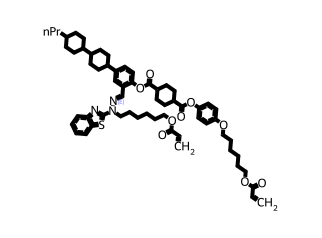 C=CC(=O)OCCCCCCOc1ccc(OC(=O)C2CCC(C(=O)Oc3ccc(C4CCC(C5CCC(CCC)CC5)CC4)cc3/C=N/N(CCCCCCOC(=O)C=C)c3nc4ccccc4s3)CC2)cc1